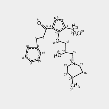 Cc1csc(C(=O)CCc2ccccc2)c1OCC(O)CN1CCC(C)CC1.Cl